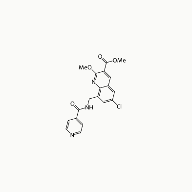 COC(=O)c1cc2cc(Cl)cc(CNC(=O)c3ccncc3)c2nc1OC